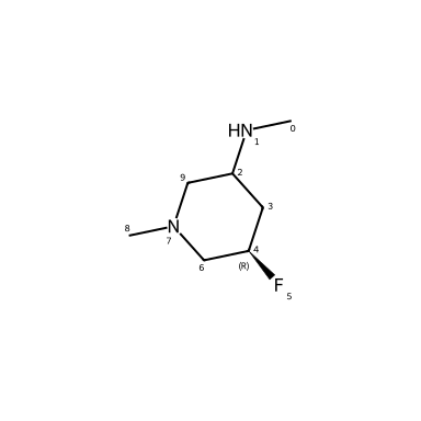 CNC1C[C@@H](F)CN(C)C1